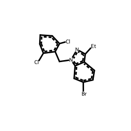 CCc1nn(Cc2c(Cl)cccc2Cl)c2cc(Br)ccc12